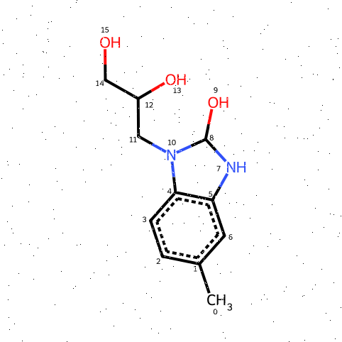 Cc1ccc2c(c1)NC(O)N2CC(O)CO